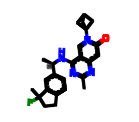 Cc1nc(N[C@H](C)c2ccc3c(c2)C(C)(F)CC3)c2cn(C34CC(C3)C4)c(=O)cc2n1